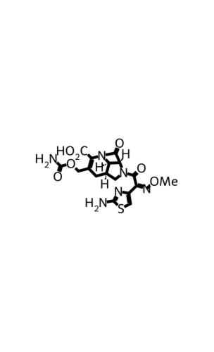 CO/N=C(\C(=O)N1C[C@H]2CC(COC(N)=O)=C(C(=O)O)N3C(=O)[C@@H]1[C@@H]23)c1csc(N)n1